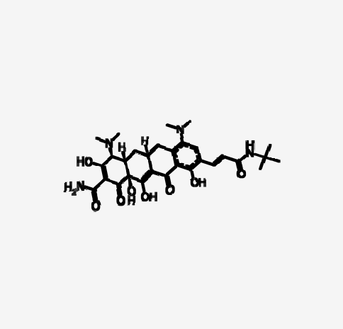 CN(C)c1cc(/C=C/C(=O)NC(C)(C)C)c(O)c2c1C[C@H]1C[C@H]3[C@H](N(C)C)C(O)=C(C(N)=O)C(=O)[C@@]3(O)C(O)=C1C2=O